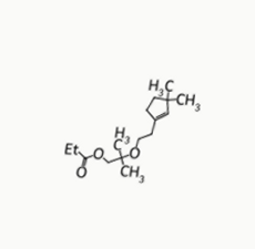 CCC(=O)OCC(C)(C)OCCC1=CC(C)(C)CC1